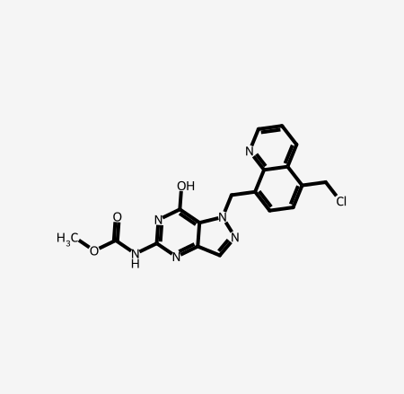 COC(=O)Nc1nc(O)c2c(cnn2Cc2ccc(CCl)c3cccnc23)n1